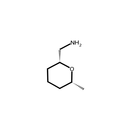 C[C@@H]1CCC[C@H](CN)O1